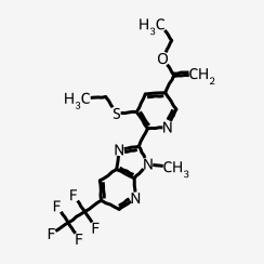 C=C(OCC)c1cnc(-c2nc3cc(C(F)(F)C(F)(F)F)cnc3n2C)c(SCC)c1